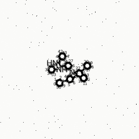 c1ccc(-c2ccc3c4c5ccccc5c(-c5ccccc5)cc4n(-c4cccc(C5Nc6ccccc6NC5c5ccccc5)c4)c3c2)cc1